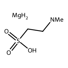 CNCCS(=O)(=O)O.[MgH2]